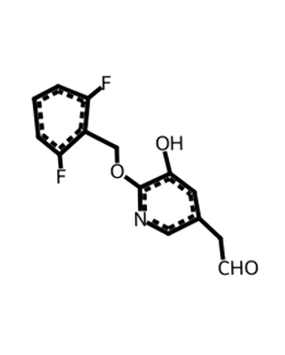 O=CCc1cnc(OCc2c(F)cccc2F)c(O)c1